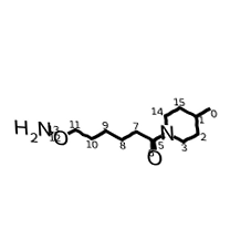 CC1CCN(C(=O)CCCCCON)CC1